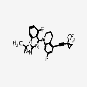 Cc1nnc2nc(N3CCCc4c(C#CC5(C(F)(F)F)CC5)cc(F)cc43)c3c(F)cccc3n12